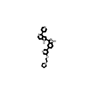 c1cc(-c2nccc3[nH]c(-c4n[nH]c5ccc(-c6cncc(OCCN7CCCC7)c6)cc45)cc23)ccn1